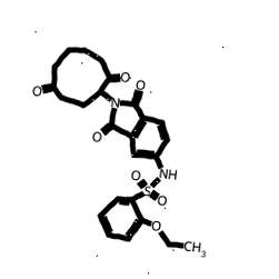 CCOc1ccccc1S(=O)(=O)Nc1ccc2c(c1)C(=O)N(C1CCC(=O)CCCCC1=O)C2=O